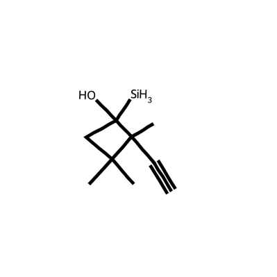 C#CC1(C)C(C)(C)CC1(O)[SiH3]